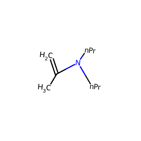 C=C(C)N(CCC)CCC